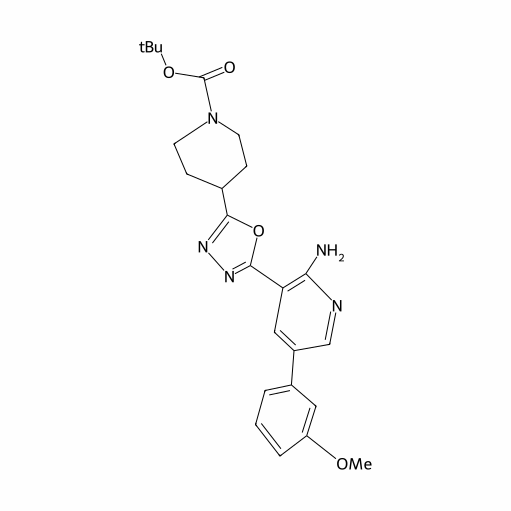 COc1cccc(-c2cnc(N)c(-c3nnc(C4CCN(C(=O)OC(C)(C)C)CC4)o3)c2)c1